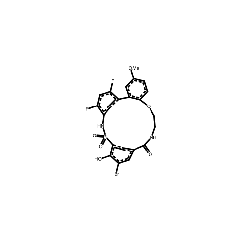 COc1ccc2c(c1)-c1cc(c(F)cc1F)NS(=O)(=O)c1cc(cc(Br)c1O)C(=O)NCCO2